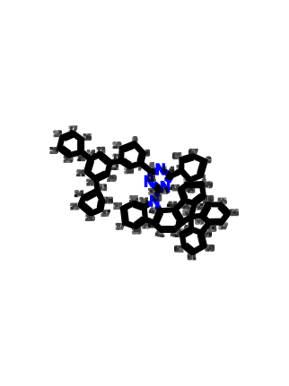 C1=CCC(c2nc(-c3cccc(-c4cc(-c5ccccc5)cc(-c5ccccc5)c4)c3)nc(-n3c4ccccc4c4ccc5c(c43)-c3ccccc3C53c4ccccc4-c4ccccc43)n2)C=C1